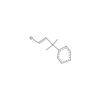 CC(C)(C=C[O])c1ccccc1